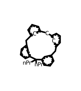 CCCC1(CCC)c2cccc(c2)Cc2cccc(c2)Cc2cccc(c2)Cc2cccc1c2